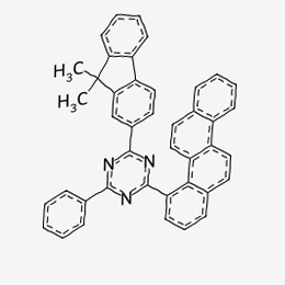 CC1(C)c2ccccc2-c2ccc(-c3nc(-c4ccccc4)nc(-c4cccc5ccc6c7ccccc7ccc6c45)n3)cc21